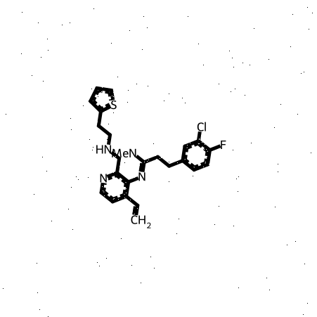 C=Cc1ccnc(CNCCc2cccs2)c1/N=C(/CCc1ccc(F)c(Cl)c1)NC